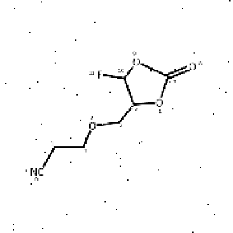 N#CCCOCC1OC(=O)OC1F